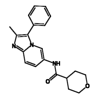 Cc1nc2ccc(NC(=O)C3CCOCC3)cn2c1-c1ccccc1